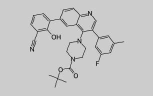 Cc1cc(F)cc(-c2cnc3ccc(-c4cccc(C#N)c4O)cc3c2N2CCN(C(=O)OC(C)(C)C)CC2)c1